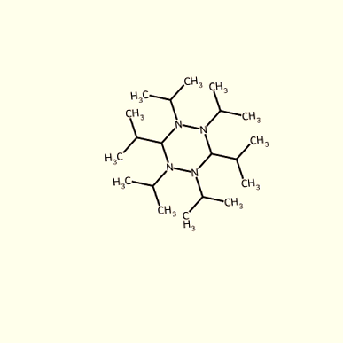 CC(C)C1N(C(C)C)N(C(C)C)C(C(C)C)N(C(C)C)N1C(C)C